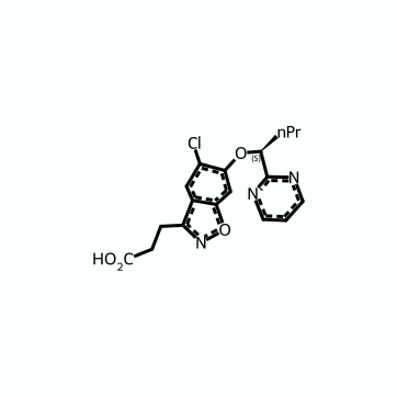 CCC[C@H](Oc1cc2onc(CCC(=O)O)c2cc1Cl)c1ncccn1